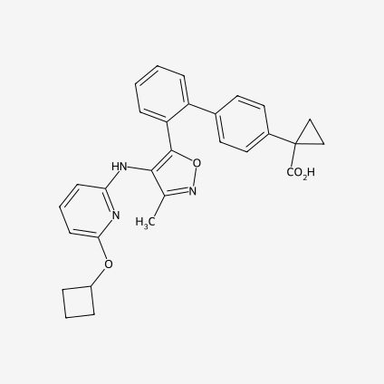 Cc1noc(-c2ccccc2-c2ccc(C3(C(=O)O)CC3)cc2)c1Nc1cccc(OC2CCC2)n1